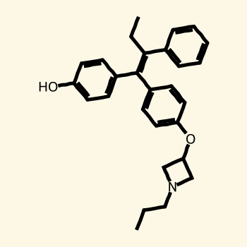 CCCN1CC(Oc2ccc(/C(=C(/CC)c3ccccc3)c3ccc(O)cc3)cc2)C1